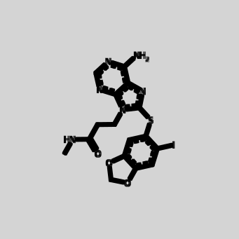 CNC(=O)CCn1c(Sc2cc3c(cc2I)OCO3)nc2c(N)ncnc21